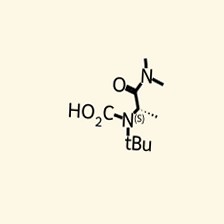 C[C@@H](C(=O)N(C)C)N(C(=O)O)C(C)(C)C